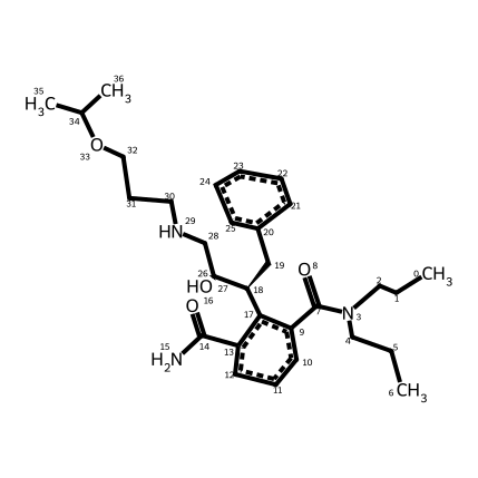 CCCN(CCC)C(=O)c1cccc(C(N)=O)c1[C@H](Cc1ccccc1)[C@@H](O)CNCCCOC(C)C